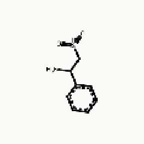 NC(C[SH](=O)=O)c1cc[c]cc1